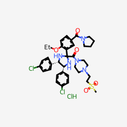 CCOc1ccc(C(=O)N2CCCC2)cc1C1(C(=O)N2CCN(CCS(C)(=O)=O)CC2)N[C@H](c2ccc(Cl)cc2)[C@H](c2ccc(Cl)cc2)N1.Cl